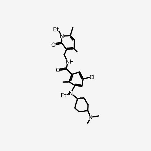 CCN(c1cc(Cl)cc(C(=O)NCc2c(C)cc(C)n(CC)c2=O)c1C)C1CCC(N(C)C)CC1